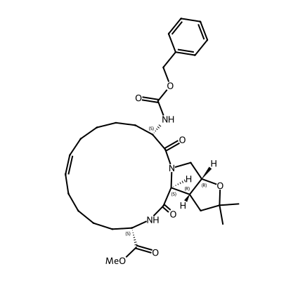 COC(=O)[C@@H]1CCCCC=CCCCC[C@H](NC(=O)OCc2ccccc2)C(=O)N2C[C@@H]3OC(C)(C)C[C@@H]3[C@H]2C(=O)N1